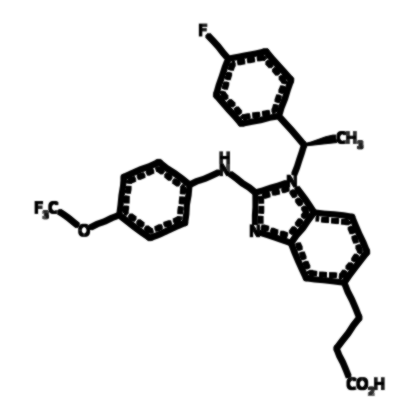 C[C@H](c1ccc(F)cc1)n1c(Nc2ccc(OC(F)(F)F)cc2)nc2cc(CCC(=O)O)ccc21